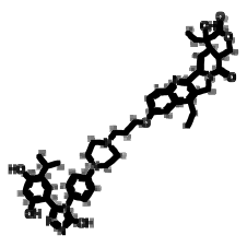 CCc1c2c(nc3ccc(OCCCN4CCN(c5ccc(-n6c(O)nnc6-c6cc(C(C)C)c(O)cc6O)cc5)CC4)cc13)C1=CC3C(COC(=O)C3(O)CC)C(=O)N1C2